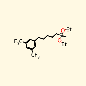 CCO[Si](C)(CCCCCc1cc(C(F)(F)F)cc(C(F)(F)F)c1)OCC